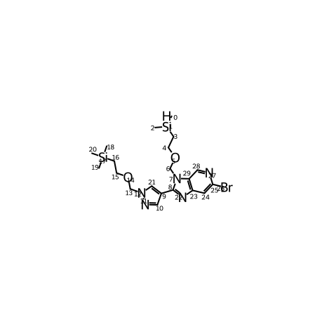 C[SiH](C)CCOCn1c(-c2cnn(COCC[Si](C)(C)C)c2)nc2cc(Br)ncc21